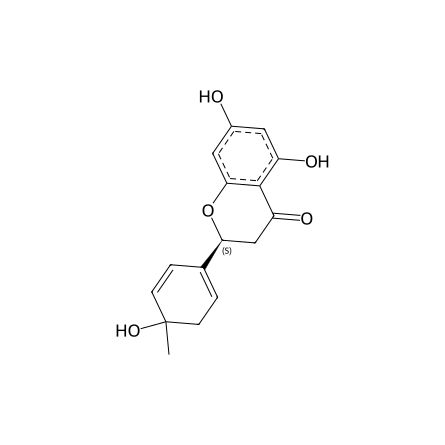 CC1(O)C=CC([C@@H]2CC(=O)c3c(O)cc(O)cc3O2)=CC1